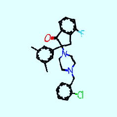 Cc1cc(C)cc(C2(N3CCN(Cc4ccccc4Cl)CC3)Cc3c(F)cccc3C2=O)c1